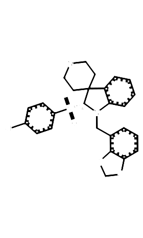 O=S(=O)(c1ccc(Cl)cc1)[C@H]1N(Cc2cccc3c2OCO3)c2ccccc2C12CCNCC2